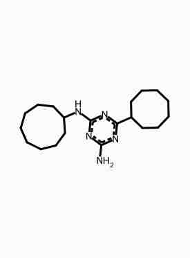 Nc1nc(NC2CCCCCCCC2)nc(C2CCCCCCC2)n1